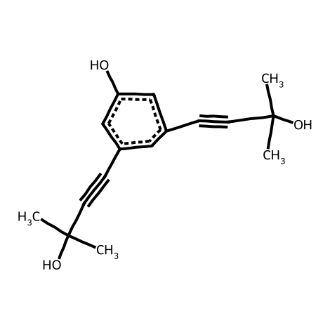 CC(C)(O)C#Cc1cc(O)cc(C#CC(C)(C)O)c1